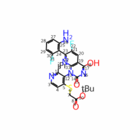 CC(C)c1nccc(SCC(=O)OC(C)(C)C)c1-n1c(=O)nc(O)c2cc(F)c(-c3c(N)cccc3F)nc21